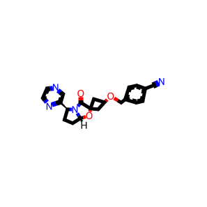 N#Cc1ccc(COC2CC3(C2)O[C@@H]2CC[C@@H](c4cnccn4)N2C3=O)cc1